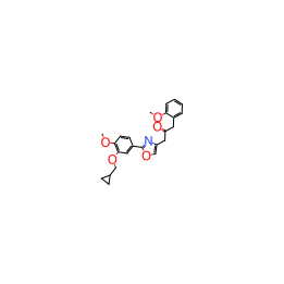 COc1ccccc1CC(=O)Cc1coc(-c2ccc(OC)c(OCC3CC3)c2)n1